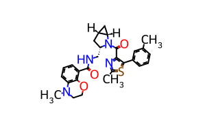 Cc1cccc(-c2sc(C)nc2C(=O)N2[C@H](CNC(=O)c3cccc4c3OCCN4C)C[C@@H]3C[C@@H]32)c1